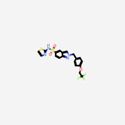 O=S(=O)(Nc1nccs1)c1ccc2nn(Cc3ccc(OCC(F)(F)F)cc3)cc2c1